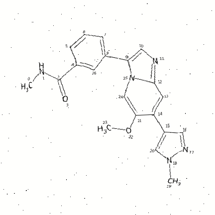 CNC(=O)c1cccc(-c2cnc3cc(-c4cnn(C)c4)c(OC)cn23)c1